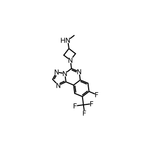 CNC1CN(c2nc3cc(F)c(C(F)(F)F)cc3c3ncnn23)C1